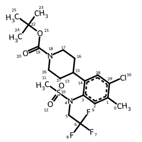 Cc1cc(N(CC(F)(F)F)S(C)(=O)=O)c(C2CCN(C(=O)OC(C)(C)C)CC2)cc1Cl